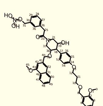 COc1ccccc1COCCCOc1ccc(C2C(O)CN(C(=O)Cc3cccc(CON(O)O)c3)CC2OCc2cc(OC)c3ccccc3c2)cc1